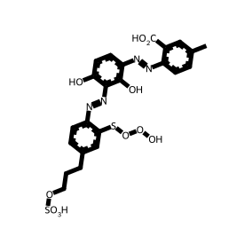 Cc1ccc(/N=N/c2ccc(O)c(/N=N/c3ccc(CCCOS(=O)(=O)O)cc3SOOO)c2O)c(C(=O)O)c1